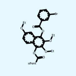 CCCCCC(=O)Oc1c(OCC)c(OCC)c(OC(=O)c2cccc(Br)c2)c2cc(OCC)ccc12